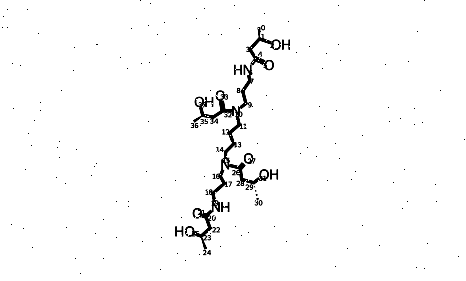 C[C@@H](O)CC(=O)NCCCN(CCCCN(CCCNC(=O)C[C@@H](C)O)C(=O)C[C@@H](C)O)C(=O)C[C@@H](C)O